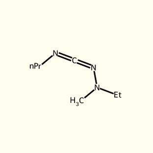 CCCN=C=NN(C)CC